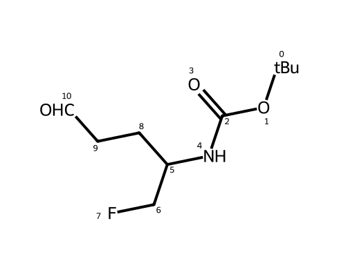 CC(C)(C)OC(=O)NC(CF)CCC=O